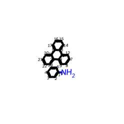 Nc1ccccc1.c1ccc2c(c1)c1ccccc1c1ccccc21